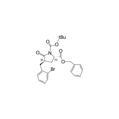 CC(C)(C)OC(=O)N1C(=O)[C@H](Cc2ccccc2Br)C[C@H]1C(=O)OCc1ccccc1